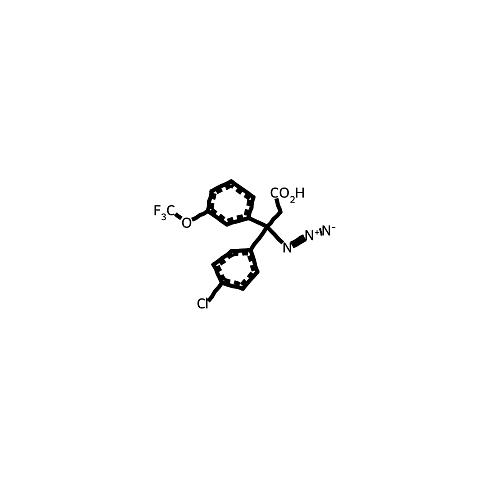 [N-]=[N+]=NC(CC(=O)O)(c1ccc(Cl)cc1)c1cccc(OC(F)(F)F)c1